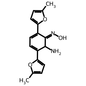 Cc1ccc(C2=CC=C(c3ccc(C)o3)C(N)/C2=N\O)o1